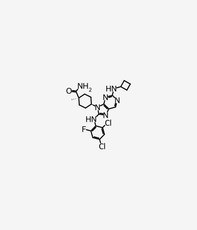 C[C@]1(C(N)=O)CC[C@@H](n2c(Nc3c(F)cc(Cl)cc3Cl)nc3cnc(NC4CCC4)nc32)CC1